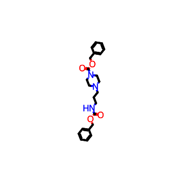 O=C(NCCCN1CCN(C(=O)OCc2ccccc2)CC1)OCc1ccccc1